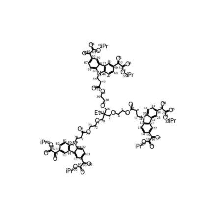 CCC(COCCOC(=O)CCn1c2ccc(C(=O)C(=O)OC(C)C)cc2c2cc(C(=O)C(=O)OC(C)C)ccc21)(COCCOC(=O)CCn1c2ccc(C(=O)C(=O)OC(C)C)cc2c2cc(C(=O)C(=O)OC(C)C)ccc21)COCCOC(=O)CCn1c2ccc(C(=O)C(=O)OC(C)C)cc2c2cc(C(=O)C(=O)OC(C)C)ccc21